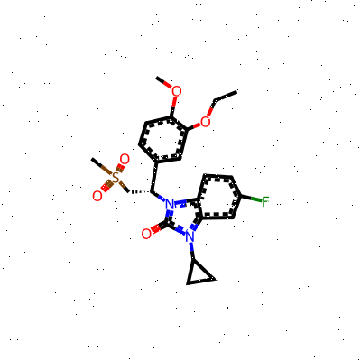 CCOc1cc([C@@H](CS(C)(=O)=O)n2c(=O)n(C3CC3)c3cc(F)ccc32)ccc1OC